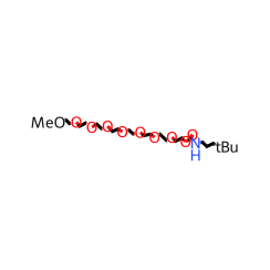 COCCOCCOCCOCCOCCOCCOCCOCCOC(=O)NCCCC(C)(C)C